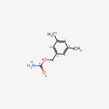 Cc1cc(C)cc(COC(N)=O)c1